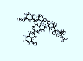 CC[C@@H]1C[C@]1(NC(=O)[C@@H]1C[C@@H](OC(=O)N2Cc3cccc(Cl)c3C2)CN1C(=O)[C@@H](Nc1cccc(C(C)(C)C)c1)C(C)C)C(=O)NS(=O)(=O)C1CC1